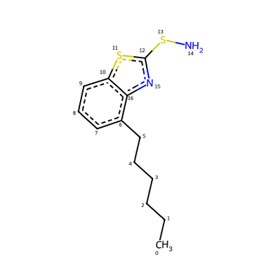 CCCCCCc1cccc2sc(SN)nc12